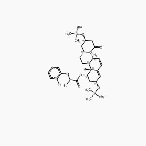 CCC(Oc1ccccc1Cl)C(=O)O[C@H]1C[C@H](O[Si](C)(C)C(C)(C)C)C=C2C=C[C@H](C)[C@H](CC[C@@H]3C[C@@H](O[Si](C)(C)C(C)(C)C)CC(=O)O3)[C@H]21